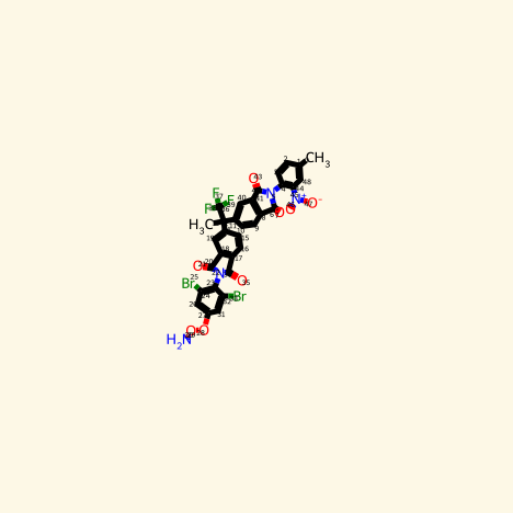 Cc1ccc(N2C(=O)c3ccc(C(C)(c4ccc5c(c4)C(=O)N(c4c(Br)cc(OON)cc4Br)C5=O)C(F)(F)F)cc3C2=O)c([N+](=O)[O-])c1